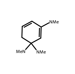 CNC1=CC(NC)(NC)CC=C1